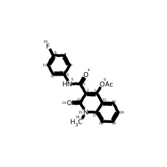 CC(=O)Oc1c(C(=O)Nc2ccc(F)cc2)c(=O)n(C)c2ccccc12